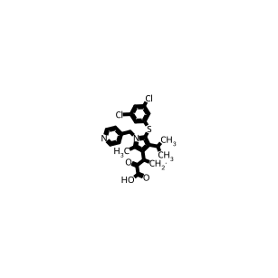 [CH2]C(C(=O)C(=O)O)c1c(C(C)C)c(Sc2cc(Cl)cc(Cl)c2)n(Cc2ccncc2)c1C